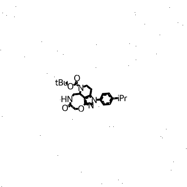 CC(C)c1ccc(-n2nc3c4c2CCN(C(=O)OC(C)(C)C)C4CNC(=O)CO3)cc1